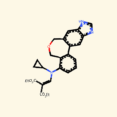 CCOC(=O)C(=CN(c1cccc2c1COCc1cc3[nH]cnc3cc1-2)C1CC1)C(=O)OCC